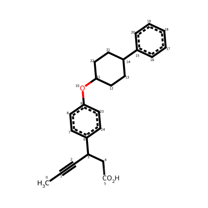 CC#CC(CC(=O)O)c1ccc(OC2CCC(c3ccccc3)CC2)cc1